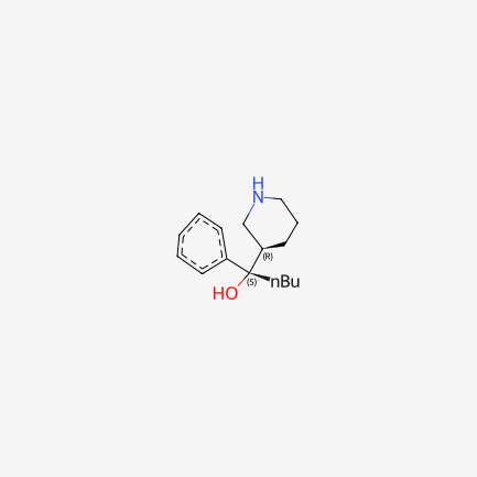 CCCC[C@@](O)(c1ccccc1)[C@@H]1CCCNC1